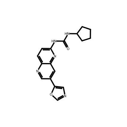 O=C(Nc1ccc2ncc(-c3cnco3)cc2n1)NC1CCCC1